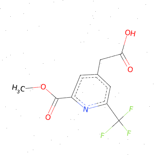 COC(=O)c1cc(CC(=O)O)cc(C(F)(F)F)n1